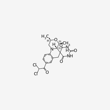 C[C@@H]1CN2c3ccc(C(=O)C(Cl)Cl)cc3CC3(C(=O)NC(=O)NC3=O)[C@H]2[C@H](C)O1